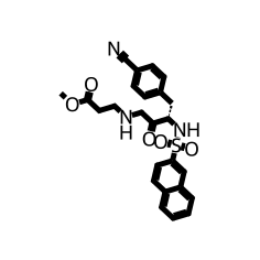 COC(=O)CCNCC(=O)[C@H](Cc1ccc(C#N)cc1)NS(=O)(=O)c1ccc2ccccc2c1